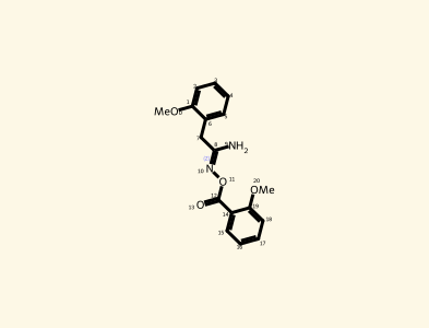 COc1ccccc1C/C(N)=N/OC(=O)c1ccccc1OC